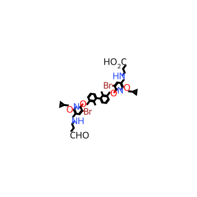 Cc1c(COc2nc(OCC3CC3)c(CNCCCC=O)cc2Br)cccc1-c1cccc(COc2nc(OCC3CC3)c(CNCCCC(=O)O)cc2Br)c1C